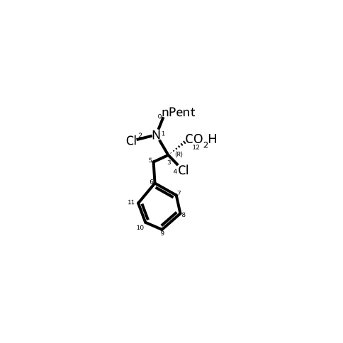 CCCCCN(Cl)[C@@](Cl)(Cc1ccccc1)C(=O)O